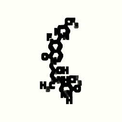 C[C@@H](C[C@H](O)Cn1ccc2cc(-c3ncc(C(F)(F)F)cn3)c(F)cc2c1=O)Nc1cn[nH]c(=O)c1C(F)(F)F